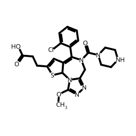 COc1nnc2n1C1SC(CCC(=O)O)=CC1=C(c1ccccc1Cl)N(C(=O)N1CCNCC1)C2